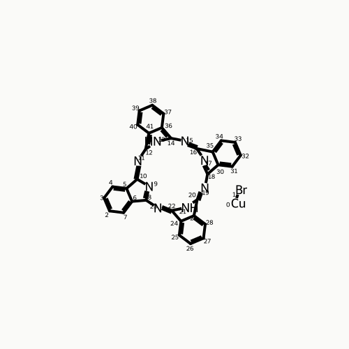 [Cu][Br].c1ccc2c(c1)-c1nc-2nc2[nH]c(nc3nc(nc4[nH]c(n1)c1ccccc41)-c1ccccc1-3)c1ccccc21